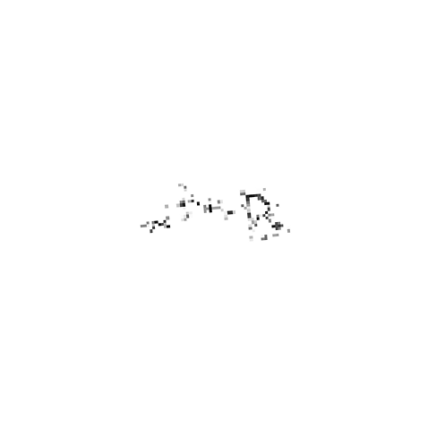 COCC(F)(F)CNCCc1cccc(N)c1C